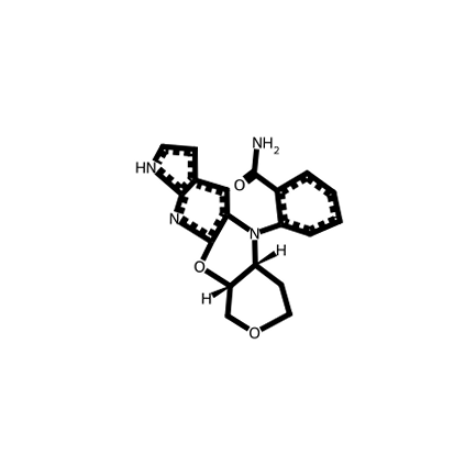 NC(=O)c1ccccc1N1c2cc3cc[nH]c3nc2O[C@H]2COCC[C@H]21